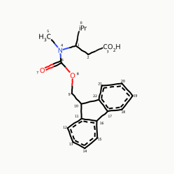 CC(C)C(CC(=O)O)N(C)C(=O)OCC1c2ccccc2-c2ccccc21